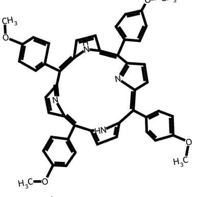 COc1ccc(-c2c3nc(c(-c4ccc(OC)cc4)c4ccc([nH]4)c(-c4ccc(OC)cc4)c4nc(c(-c5ccc(OC)cc5)c5ccc2[nH]5)C=C4)C=C3)cc1.[Pd]